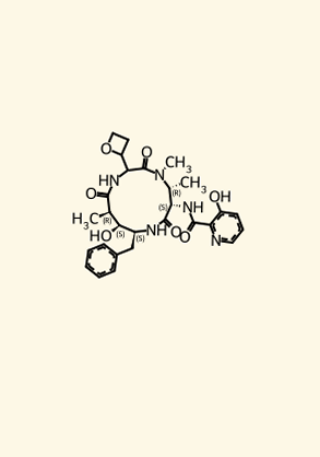 C[C@@H]1[C@H](NC(=O)c2ncccc2O)C(=O)N[C@@H](Cc2ccccc2)[C@@H](O)[C@@H](C)C(=O)NC(C2CCO2)C(=O)N1C